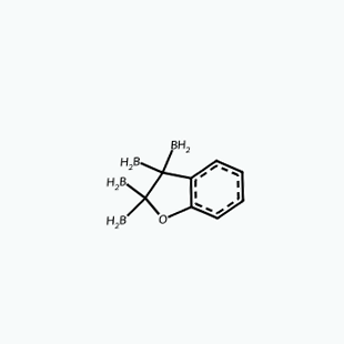 BC1(B)Oc2ccccc2C1(B)B